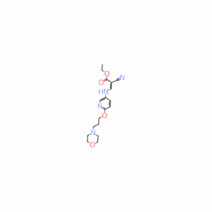 CCOC(=O)C(C#N)=CNc1ccc(OCCCN2CCOCC2)nc1